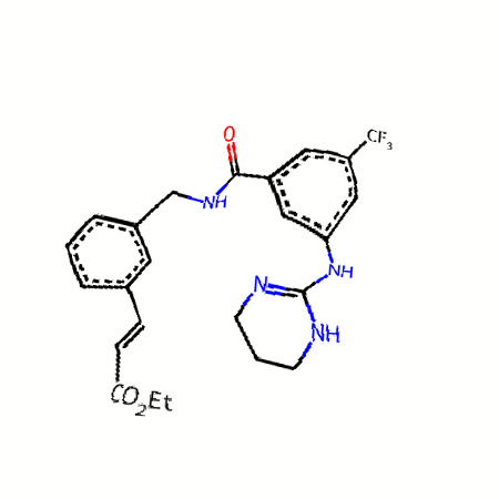 CCOC(=O)C=Cc1cccc(CNC(=O)c2cc(NC3=NCCCN3)cc(C(F)(F)F)c2)c1